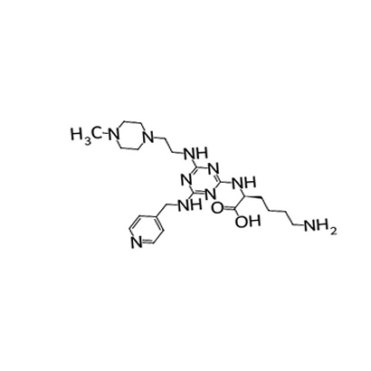 CN1CCN(CCNc2nc(NCc3ccncc3)nc(N[C@@H](CCCCN)C(=O)O)n2)CC1